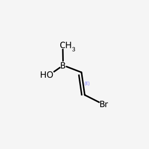 CB(O)/C=C/Br